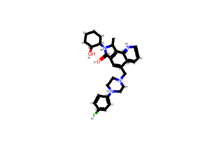 CC1c2c(cc(CN3CCN(c4ccc(F)cc4)CC3)c3cccnc23)C(=O)N1C1CCCCC1O